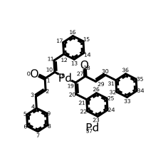 O=C(C=Cc1ccccc1)[C](=Cc1ccccc1)[Pd][C](=Cc1ccccc1)C(=O)C=Cc1ccccc1.[Pd]